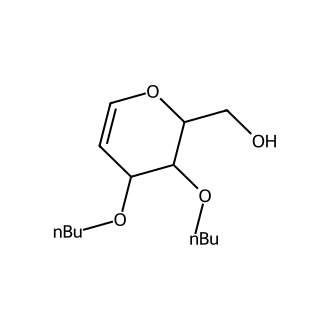 CCCCOC1C=COC(CO)C1OCCCC